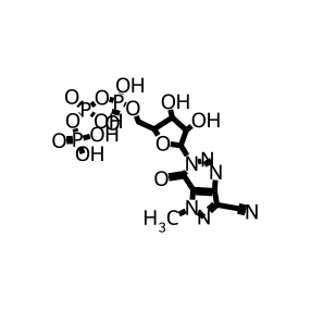 Cn1nc(C#N)c2nnn(C3OC(COP(=O)(O)OP(=O)(O)OP(=O)(O)O)C(O)C3O)c(=O)c21